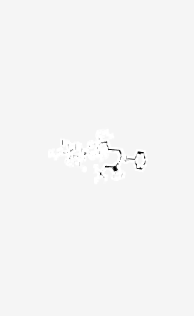 C[Si](C)(C)O[Si](C)(C)O[Si](C)(C)CCCN(C(=O)CC(F)(F)F)c1ccccc1